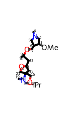 COC1CN(C)CC1COC(C)CC1CC(COC(C)C)(N(C)C)CO1